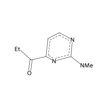 CCC(=O)c1ccnc(NC)n1